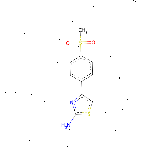 CS(=O)(=O)c1ccc(-c2csc(N)n2)cc1